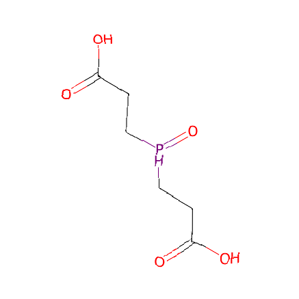 O=C(O)CC[PH](=O)CCC(=O)O